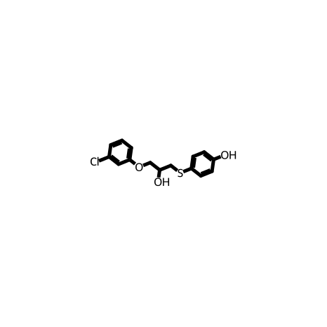 Oc1ccc(SCC(O)COc2cccc(Cl)c2)cc1